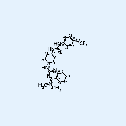 CN(C)c1nc(N[C@H]2CC[C@@H](NC(=S)Nc3ccc(OC(F)(F)F)cc3)CC2)nc2c1CCCC2